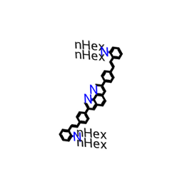 CCCCCCN(CCCCCC)c1ccccc1/C=C/c1ccc(-c2cnc3c(ccc4cc(-c5ccc(/C=C/c6ccccc6N(CCCCCC)CCCCCC)cc5)cnc43)c2)cc1